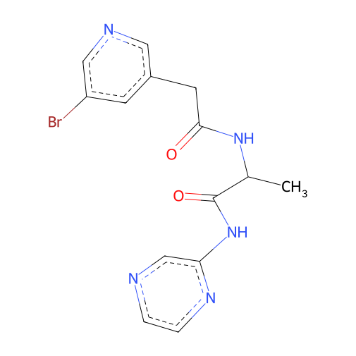 CC(NC(=O)Cc1cncc(Br)c1)C(=O)Nc1cnccn1